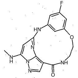 CNc1cc2nc3c(cnn13)C(=O)NCCOc1cc(F)cc(c1)N2